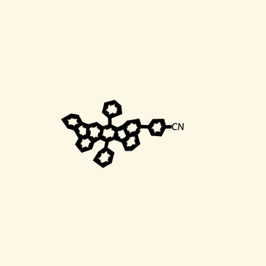 N#Cc1ccc(-c2ccc3c4c(-c5ccccc5)c5cc6c7ccccc7c7cccc(c5c(-c5ccccc5)c4c4cccc2c34)c76)cc1